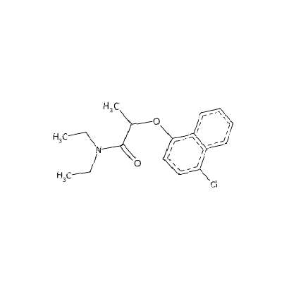 CCN(CC)C(=O)C(C)Oc1ccc(Cl)c2ccccc12